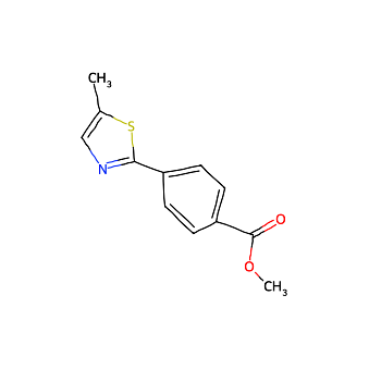 COC(=O)c1ccc(-c2ncc(C)s2)cc1